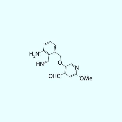 COc1cc(C=O)c(OCc2cccc(N)c2C=N)cn1